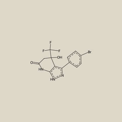 O=C1CC(O)(C(F)(F)F)c2c(-c3ccc(Br)cc3)n[nH]c2N1